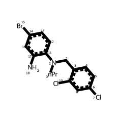 CCCN(Cc1ccc(Cl)cc1Cl)c1ccc(Br)cc1N